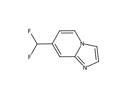 FC(F)c1ccn2ccnc2c1